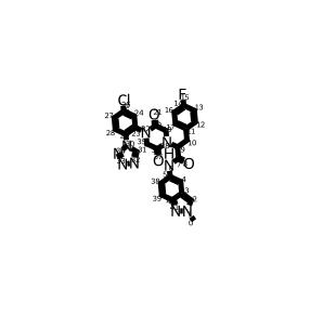 Cn1cc2cc(NC(=O)C(Cc3ccc(F)cc3)N3CC(=O)N(c4cc(Cl)ccc4-n4cnnn4)CC3=O)ccc2n1